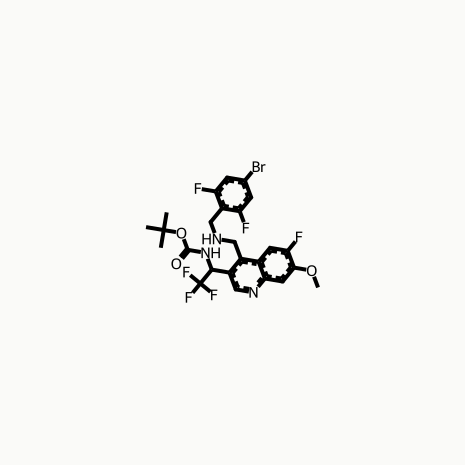 COc1cc2ncc(C(NC(=O)OC(C)(C)C)C(F)(F)F)c(CNCc3c(F)cc(Br)cc3F)c2cc1F